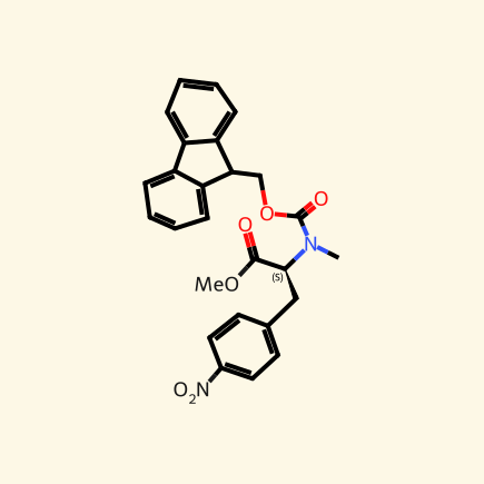 COC(=O)[C@H](Cc1ccc([N+](=O)[O-])cc1)N(C)C(=O)OCC1c2ccccc2-c2ccccc21